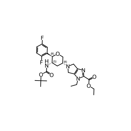 CCOC(=O)c1nc2c(n1CC)CN([C@H]1CO[C@H](c3cc(F)ccc3F)[C@@H](NC(=O)OC(C)(C)C)C1)C2